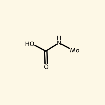 O=C(O)[NH][Mo]